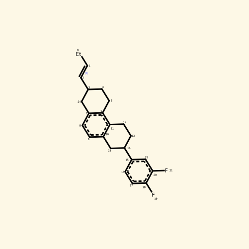 CC/C=C/C1CCc2c(ccc3c2CCC(c2ccc(F)c(F)c2)C3)C1